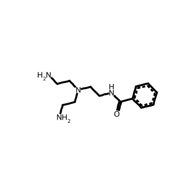 NCCN(CCN)CCNC(=O)c1ccccc1